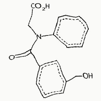 O=C(O)CN(C(=O)c1cccc(O)c1)c1ccccc1